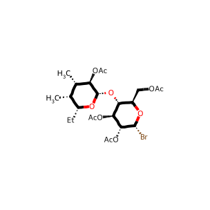 CC[C@H]1O[C@@H](O[C@H]2[C@H](OC(C)=O)[C@@H](OC(C)=O)[C@@H](Br)O[C@@H]2COC(C)=O)[C@H](OC(C)=O)[C@@H](C)[C@H]1C